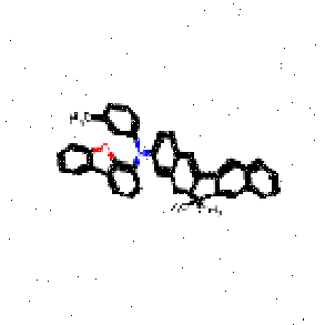 Cc1cccc(N(c2ccc3cc4c(cc3c2)C(C)(C)c2cc3ccccc3cc2-4)c2cccc3c2oc2ccccc23)c1